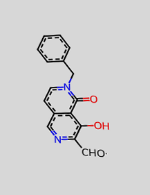 O=[C]c1ncc2ccn(Cc3ccccc3)c(=O)c2c1O